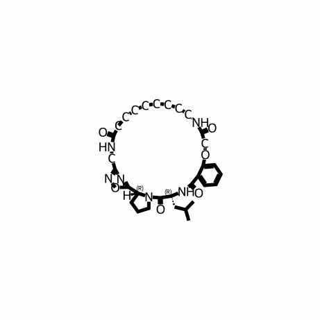 CC(C)C[C@H]1NC(=O)c2ccccc2OCC(=O)NCCCCCCCCC(=O)NCc2noc(n2)[C@H]2CCCN2C1=O